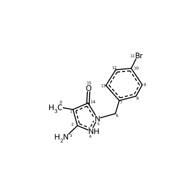 Cc1c(N)[nH]n(Cc2ccc(Br)cc2)c1=O